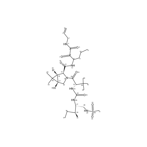 C=CCNC(=O)C(=O)C(CCC)NC(=O)[C@@H]1[C@@H]2[C@H](CN1C(=O)[C@@H](NC(=O)N[C@H](CNS(C)(=O)=O)[C@@H](C)CC)C(C)(C)C)C2(C)C